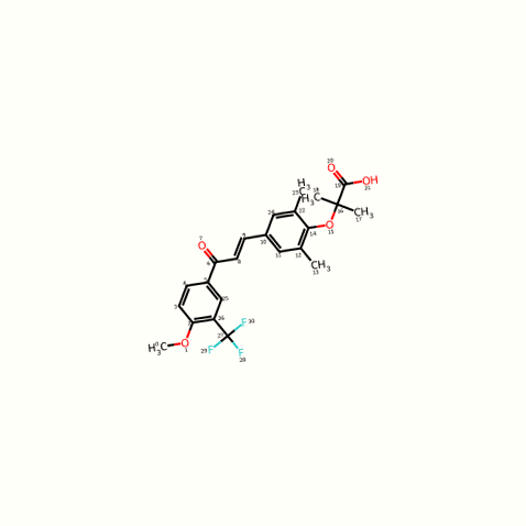 COc1ccc(C(=O)/C=C/c2cc(C)c(OC(C)(C)C(=O)O)c(C)c2)cc1C(F)(F)F